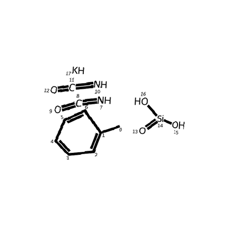 Cc1ccccc1.N=C=O.N=C=O.O=[Si](O)O.[KH]